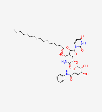 CCCCCCCCCCCCCCCC(=O)O[C@@H]1[C@H](CO)[C@@H]([C@@H](O[C@H]2OC(C(=O)Nc3ccccc3)=C[C@H](O)[C@@H]2O)C(N)=O)O[C@H]1n1ccc(=O)[nH]c1=O